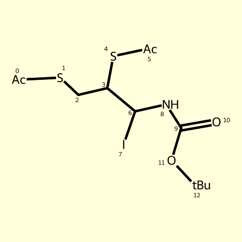 CC(=O)SCC(SC(C)=O)C(I)NC(=O)OC(C)(C)C